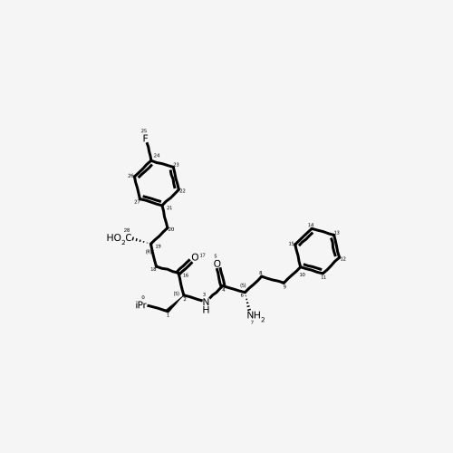 CC(C)C[C@H](NC(=O)[C@@H](N)CCc1ccccc1)C(=O)C[C@@H](Cc1ccc(F)cc1)C(=O)O